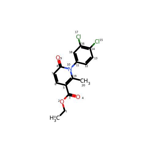 CCOC(=O)c1ccc(=O)n(-c2ccc(Cl)c(Cl)c2)c1C